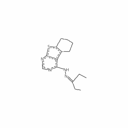 CCC(CC)=NNc1ncnc2sc3c(c12)CCCC3